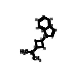 CN(C)C1CC(n2ccc3ccccc32)C1